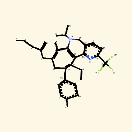 C=C(CCC)CC1=C(C)C2=C(C(CC)=C(c3ccc(C)cc3)C1)c1nc(C(F)(F)F)ccc1CN2C(C)C